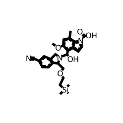 COc1cc(C)c2c(ccn2C(=O)O)c1C(O)N1Cc2cc(C#N)ccc2C1COCC[Si](C)(C)C